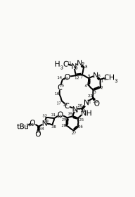 Cc1cc2cc(n1)-c1cnn(C)c1OCCCCCN1/C(=N/C2=O)Nc2cccc(OC3CN(C(=O)OC(C)(C)C)C3)c21